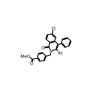 COC(=O)c1ccc(Cn2c(C(C)=O)c(-c3ccccc3)c3cc(Cl)ccc3c2=O)cc1